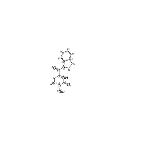 CC(C)CC(NC(=O)OC(C)(C)C)C(=O)N1CCc2ccccc21